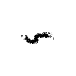 CC(=O)Oc1cc(C(F)(F)F)ccc1C(=O)N(C)c1ccc(Oc2ccc3cc(C(=O)N4CCN(Cc5ccc(OCC(F)(F)F)cc5)CC4)n(C)c3c2)nc1